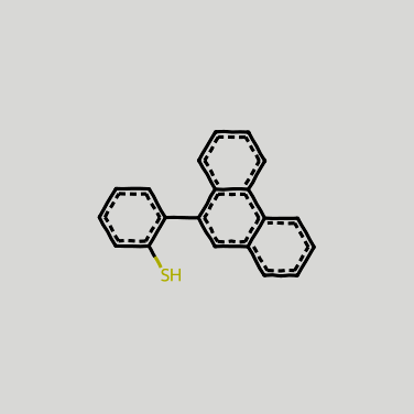 Sc1ccccc1-c1cc2ccccc2c2ccccc12